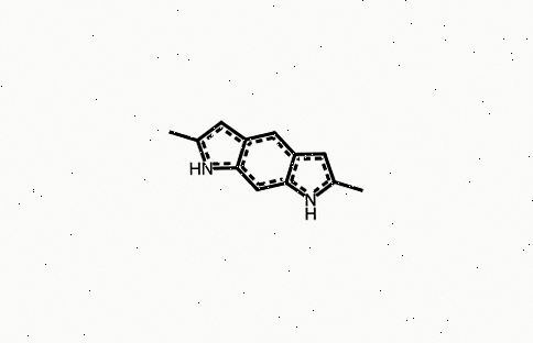 Cc1cc2cc3cc(C)[nH]c3cc2[nH]1